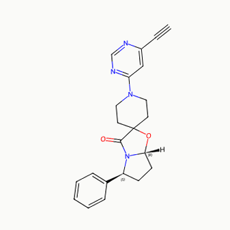 C#Cc1cc(N2CCC3(CC2)O[C@@H]2CC[C@@H](c4ccccc4)N2C3=O)ncn1